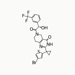 O=C([C@H](O)c1cccc(C(F)(F)F)c1)N1CCc2nc(C3(c4cc(Br)cs4)CC3)[nH]c(=O)c2C1